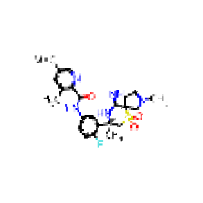 COc1cnc(C(=O)Nc2ccc(F)c([C@]3(C)CS(=O)(=O)C4(CCN(C)C4)C(=N)N3)c2)c(C)c1